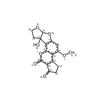 COc1cc2c(c3oc(=O)c4c(c13)CCC4=O)C1(O)CCOC1O2